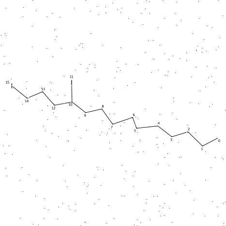 CCCCCCCCCCC(I)CCCI